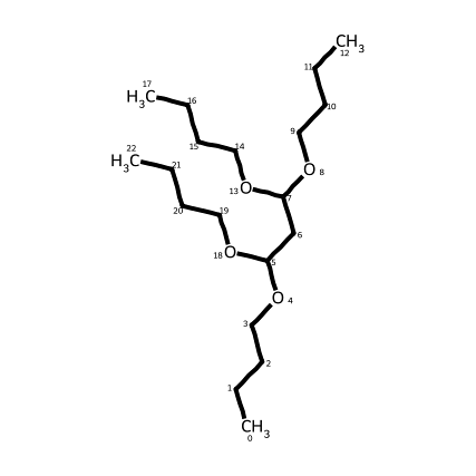 CCCCOC(CC(OCCCC)OCCCC)OCCCC